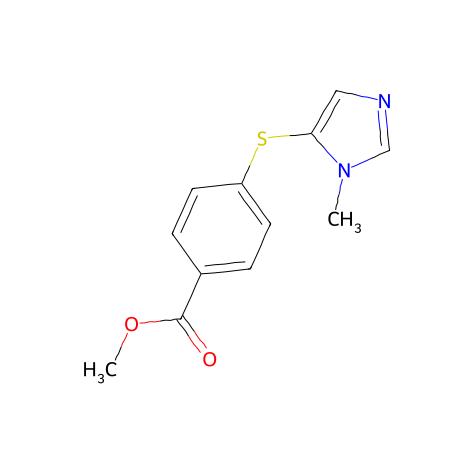 COC(=O)c1ccc(Sc2cncn2C)cc1